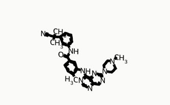 Cc1ccc(C(=O)Nc2cccc(C(C)(C)C#N)c2)cc1Nc1ncnc2cnc(N3CCN(C)CC3)nc12